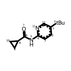 CC(C)(C)c1ccc(NC(=O)C2CC2)nc1